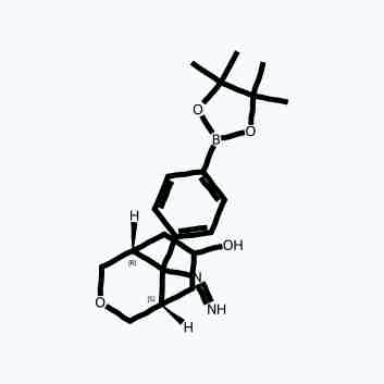 CC1(C)OB(c2ccc(C3(N=N)[C@@H]4COC[C@H]3CC(O)C4)cc2)OC1(C)C